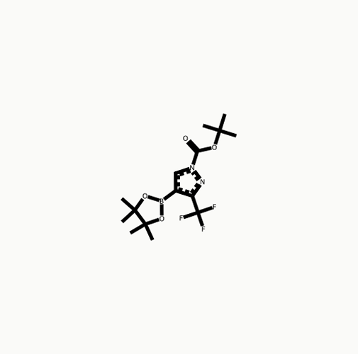 CC(C)(C)OC(=O)n1cc(B2OC(C)(C)C(C)(C)O2)c(C(F)(F)F)n1